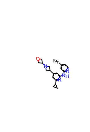 CC(C)c1ccnc(Nc2cc(C3CN(C4COC4)C3)cc(C3CC3)n2)c1